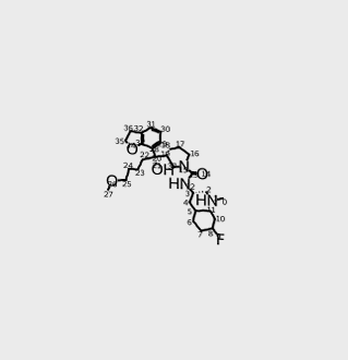 CNC[C@H](CC1CCC(F)CC1)NC(=O)N1CCC[C@@H]([C@@](O)(CCCCOC)c2cccc3c2OCC3)C1